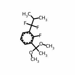 COC(C)(OC)c1cccc(C(F)(F)C(C)C)c1F